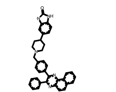 O=C1[N]c2cc(C3CCN(Cc4ccc(-c5nc6c(ccc7ccccc76)nc5-c5ccccc5)cc4)CC3)ccc2N1